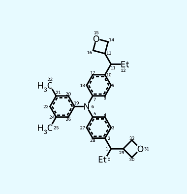 CCC(c1ccc(N(c2ccc(C(CC)C3COC3)cc2)c2cc(C)cc(C)c2)cc1)C1COC1